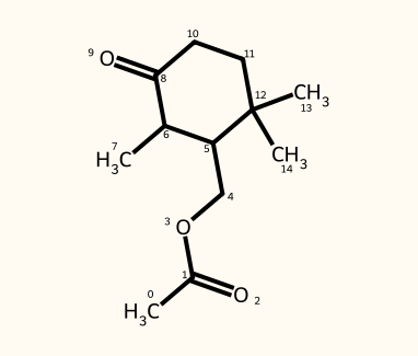 CC(=O)OCC1C(C)C(=O)CCC1(C)C